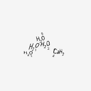 O.O.O.O.[CaH2]